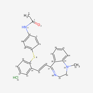 CC(=O)Nc1ccc(Sc2ccccc2C=CC2=NCCN(C)c3ccccc32)cc1.Cl